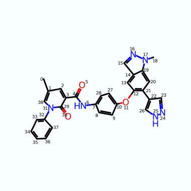 Cc1cc(C(=O)Nc2ccc(Oc3cc4cnn(C)c4cc3-c3cn[nH]c3)cc2)c(=O)n(-c2ccccc2)c1